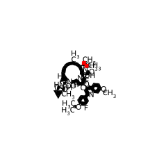 CCC(C)N(C(=O)O)[C@@H]1C(=O)N2[C@@H](C[C@@](C)(Oc3cc(-c4ccc(OC(C)C)c(F)c4)nc4cc(OC)ccc34)C2(F)F)C(=O)N[C@]2(C(=O)NS(=O)(=O)C3(C)CC3)C[C@H]2/C=C\CC[C@@H](C)C[C@H]1CC